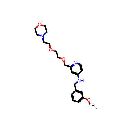 COc1cccc(CNc2ccnc(COCCOCCN3CCOCC3)c2)c1